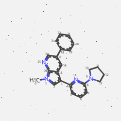 Cn1cc(-c2cccc(N3CCCC3)n2)c2cc(-c3ccccc3)cnc21